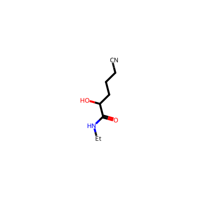 CCNC(=O)C(O)CCCC#N